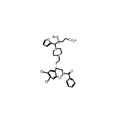 CC(=O)O[C@@H](CCC(=O)O)C(c1ccco1)N1CCN(CC[C@H](CN(C)C(=O)c2ccccc2)c2ccc(Cl)c(Cl)c2)CC1